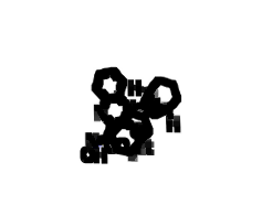 CCOC(=O)/C(=N\O)c1nc2ccccc2n([C@@H]2C[C@@H]3CCC[C@H]2N3C2CC3CCCC(C3)C2)c1=O